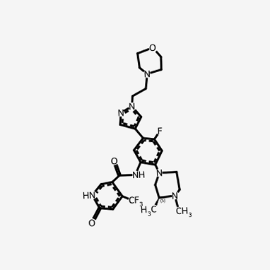 C[C@H]1CN(c2cc(F)c(-c3cnn(CCN4CCOCC4)c3)cc2NC(=O)c2c[nH]c(=O)cc2C(F)(F)F)CCN1C